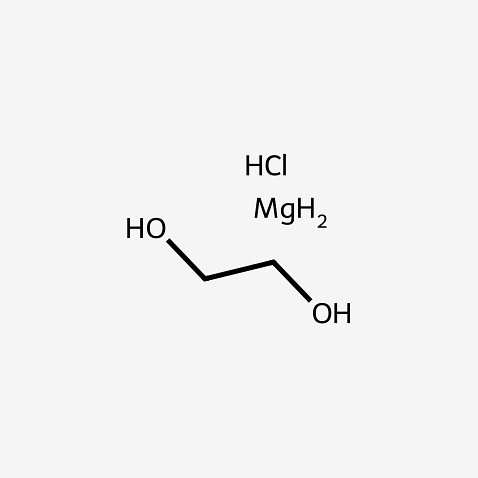 Cl.OCCO.[MgH2]